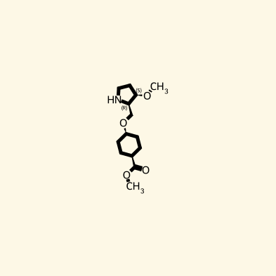 COC(=O)[C@H]1CC[C@H](OC[C@H]2NCC[C@@H]2OC)CC1